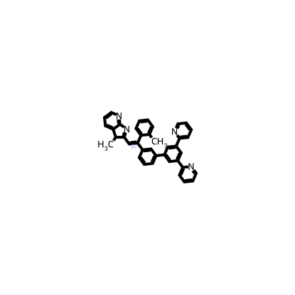 Cc1ccccc1/C(=C\C1=Nc2ncccc2C1C)c1cccc(-c2cc(-c3ccccn3)cc(-c3ccccn3)c2)c1